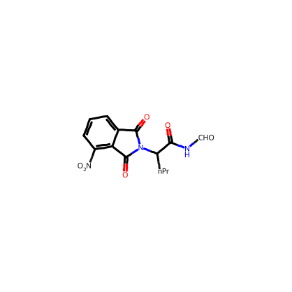 CCCC(C(=O)NC=O)N1C(=O)c2cccc([N+](=O)[O-])c2C1=O